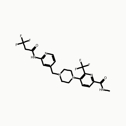 CNC(=O)c1ccc(N2CCN(Cc3ccnc(NC(=O)CC(F)(F)F)c3)CC2)c(C(F)(F)F)n1